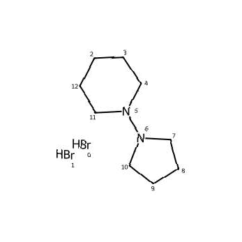 Br.Br.C1CCN(N2CCCC2)CC1